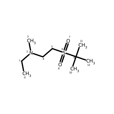 CCN(C)CCS(=O)(=O)C(C)(C)C